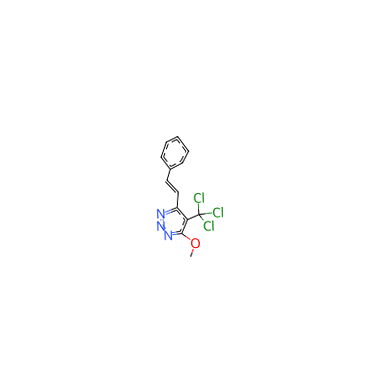 COc1nnnc(C=Cc2ccccc2)c1C(Cl)(Cl)Cl